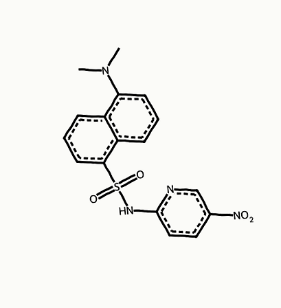 CN(C)c1cccc2c(S(=O)(=O)Nc3ccc([N+](=O)[O-])cn3)cccc12